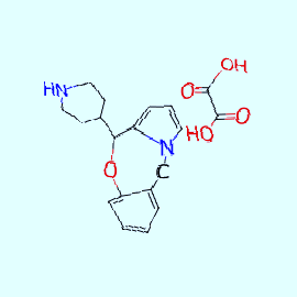 O=C(O)C(=O)O.c1ccc2c(c1)Cn1cccc1C(C1CCNCC1)O2